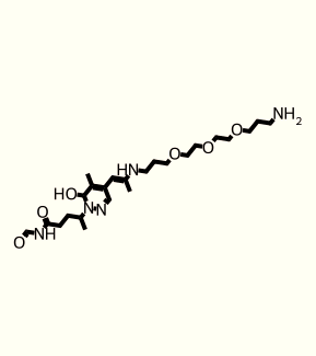 CC1=C(/C=C(\C)NCCCOCCOCCOCCCN)C=NN(C(C)CCC(=O)NC=O)C1O